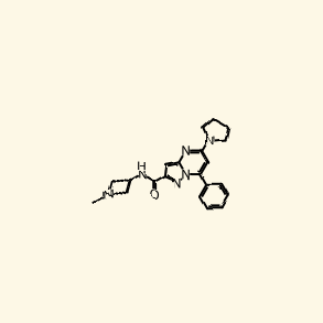 CN1CC(NC(=O)c2cc3nc(N4CCCC4)cc(-c4ccccc4)n3n2)C1